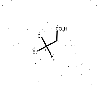 CCC(F)(Cl)CC(=O)O